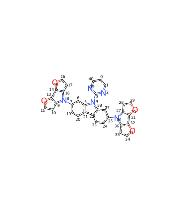 c1cnc(-n2c3cc(-n4c5ccoc5c5occc54)ccc3c3ccc(-n4c5ccoc5c5occc54)cc32)nc1